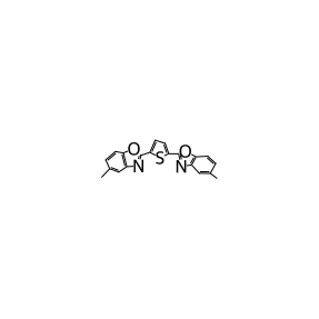 Cc1ccc2oc(-c3ccc(-c4nc5cc(C)ccc5o4)s3)nc2c1